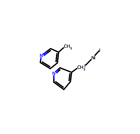 Cc1cccnc1.Cc1cccnc1.[I][Ni][I]